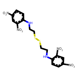 O=[N+]([O-])c1ccc(NCCSSCCNc2ccc([N+](=O)[O-])cc2[N+](=O)[O-])c([N+](=O)[O-])c1